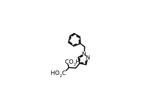 O=C(O)C(Cc1cnn(Cc2ccccc2)c1)C(=O)O